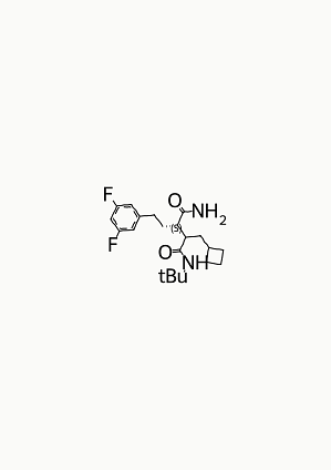 CC(C)(C)NC(=O)C(CC1CCC1)[C@H](CCc1cc(F)cc(F)c1)C(N)=O